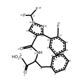 O=C(O)C(=O)C(Cc1ccccc1)NC(=O)c1cn(C(F)F)nc1-c1ccccc1F